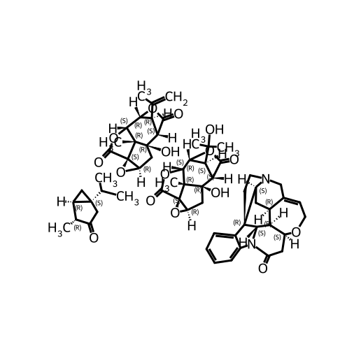 C=C(C)[C@@H]1[C@H]2OC(=O)[C@@H]1[C@]1(O)C[C@H]3O[C@]34C(=O)O[C@H]2[C@]14C.CC(C)(O)[C@@H]1[C@H]2OC(=O)[C@@H]1[C@]1(O)C[C@H]3O[C@]34C(=O)O[C@H]2[C@]14C.CC(C)[C@]12CC(=O)[C@H](C)[C@H]1C2.O=C1C[C@@H]2OCC=C3CN4CC[C@]56c7ccccc7N1[C@H]5[C@H]2[C@H]3C[C@H]46